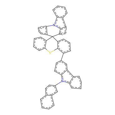 c1ccc2c(c1)Sc1c(-c3ccc4c(c3)c3ccccc3n4-c3ccc4ccccc4c3)cccc1C21c2ccccc2-n2c3ccccc3c3cccc1c32